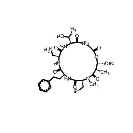 CCCCCCCCCC[C@H]1OC(=O)CNC(=O)[C@H](C(C)O)NC(=O)[C@H](CN)NC(=O)[C@H](CCc2ccccc2)NC(=O)[C@H](CC(C)C)N(C)C(=O)[C@@H]1C